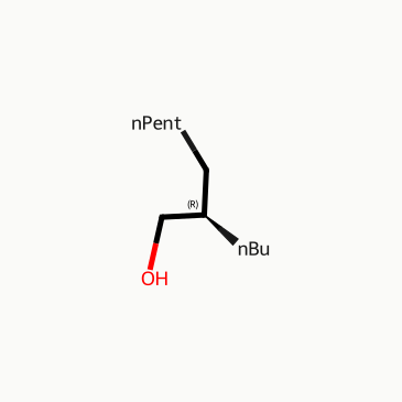 CCCCCC[C@H](CO)CCCC